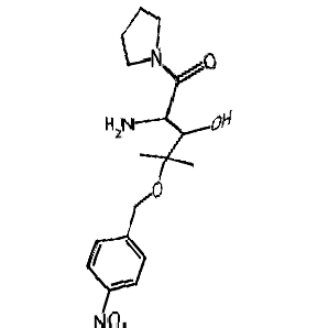 CC(C)(OCc1ccc([N+](=O)[O-])cc1)C(O)C(N)C(=O)N1CCCC1